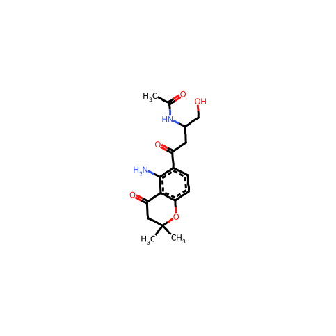 CC(=O)NC(CO)CC(=O)c1ccc2c(c1N)C(=O)CC(C)(C)O2